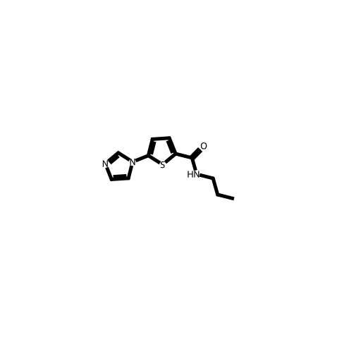 CCCNC(=O)c1ccc(-n2ccnc2)s1